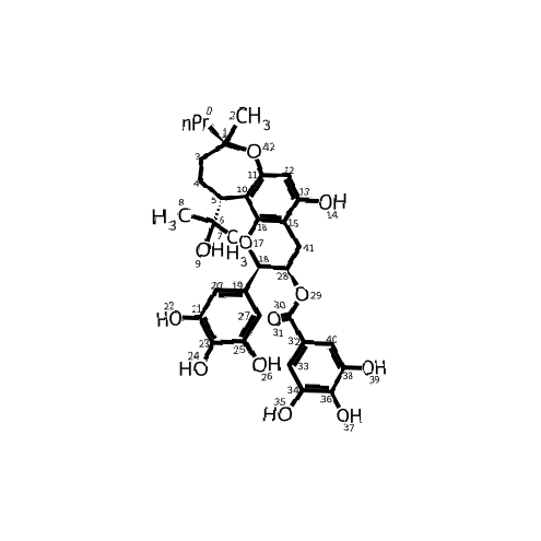 CCC[C@]1(C)CC[C@@H](C(C)(C)O)c2c(cc(O)c3c2O[C@H](c2cc(O)c(O)c(O)c2)[C@H](OC(=O)c2cc(O)c(O)c(O)c2)C3)O1